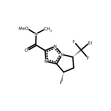 CCC(F)(F)[C@@H]1C[C@H](F)c2nc(C(=O)N(C)OC)nn21